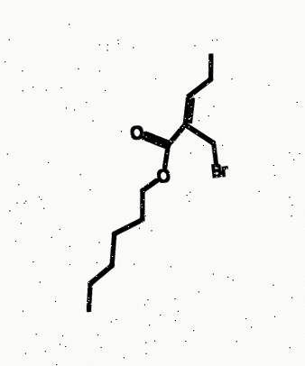 CCC=C(CBr)C(=O)OCCCCCC